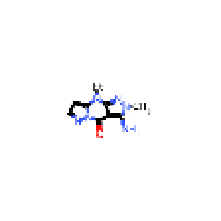 CCn1c2nn(C)c(N)c2c(=O)n2nccc12